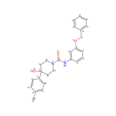 O=C(Nc1cccc(OCc2ccccc2)c1)N1CCC(O)(c2ccc(Br)cc2)CC1